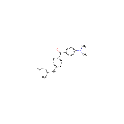 CC=C(C)[SiH2]c1ccc(C(=O)c2ccc(N(C)C)cc2)cc1